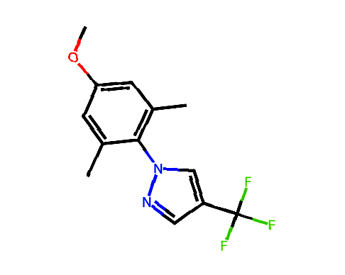 COc1cc(C)c(-n2cc(C(F)(F)F)cn2)c(C)c1